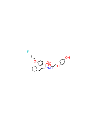 O=C(CCOc1ccc(O)cc1)N[C@H](CCCC1CCCCC1)[C@H](O)c1ccc(OCCCCF)cc1